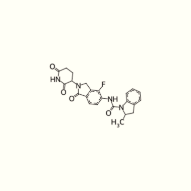 CC1Cc2ccccc2N1C(=O)Nc1ccc2c(c1F)CN(C1CCC(=O)NC1=O)C2=O